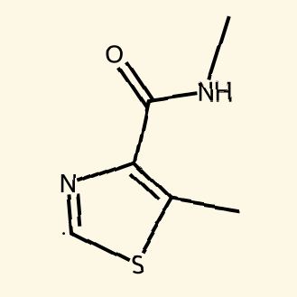 CNC(=O)c1n[c]sc1C